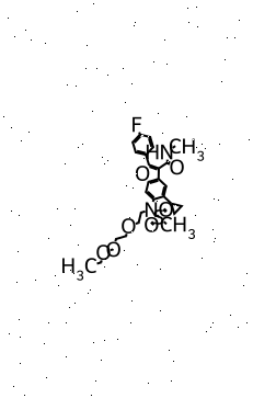 CCOOCCOCCN(c1cc2oc(-c3ccc(F)cc3)c(C(=O)NC)c2cc1C1CC1)S(C)(=O)=O